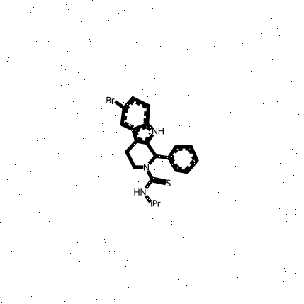 CC(C)NC(=S)N1CCc2c([nH]c3ccc(Br)cc23)C1c1ccccc1